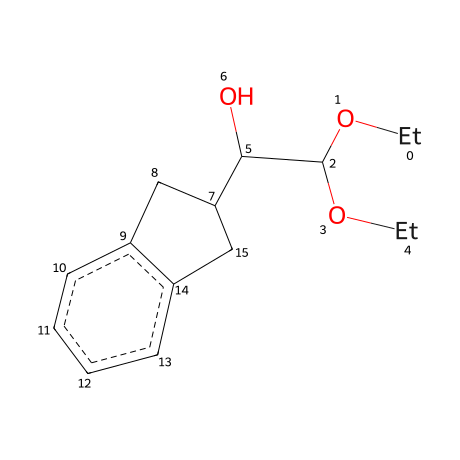 CCOC(OCC)C(O)C1Cc2ccccc2C1